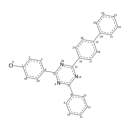 Clc1ccc(-c2nc(-c3ccccc3)nc(-c3ccc(-c4ccccc4)cc3)n2)cc1